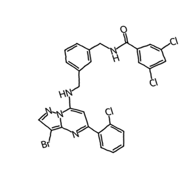 O=C(NCc1cccc(CNc2cc(-c3ccccc3Cl)nc3c(Br)cnn23)c1)c1cc(Cl)cc(Cl)c1